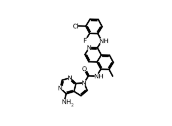 Cc1ccc2c(Nc3cccc(Cl)c3F)nccc2c1NC(=O)n1ccc2c(N)ncnc21